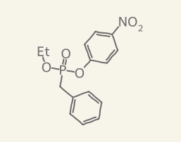 CCOP(=O)(Cc1ccccc1)Oc1ccc([N+](=O)[O-])cc1